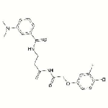 C=C(CCNC(=O)c1cccc(N(C)C)c1)NC(=O)COc1ccc(Cl)c(F)c1